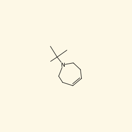 CC(C)(C)N1CCC=CCC1